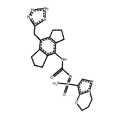 NS(=O)(=NC(=O)Nc1c2c(c(Cc3nn[nH]n3)c3c1CCC3)CCC2)c1cnn2c1OCCC2